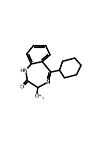 CC1N=C(C2CCCCC2)c2ccccc2NC1=O